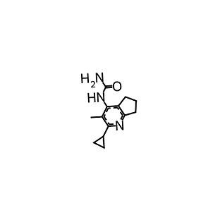 Cc1c(C2CC2)nc2c(c1NC(N)=O)CCC2